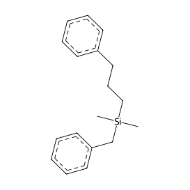 C[Si](C)(CCCc1ccccc1)Cc1ccccc1